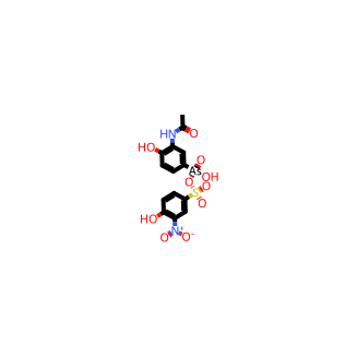 CC(=O)Nc1cc([As](=O)(O)OS(=O)(=O)c2ccc(O)c([N+](=O)[O-])c2)ccc1O